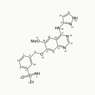 CCS(=N)(=O)c1cccc(COc2cc3ncnc(Nc4cc[nH]n4)c3cc2OC)c1